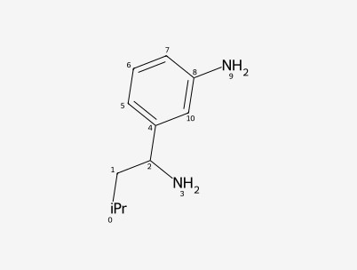 CC(C)CC(N)c1cccc(N)c1